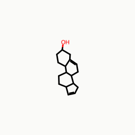 OC1CCC2C(=CCC3C4CC=CC4CCC23)C1